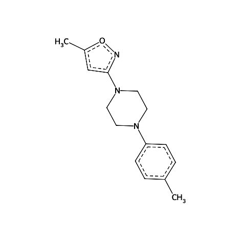 Cc1ccc(N2CCN(c3cc(C)on3)CC2)cc1